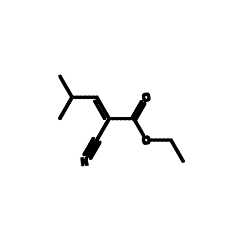 CCOC(=O)/C(C#N)=C/C(C)C